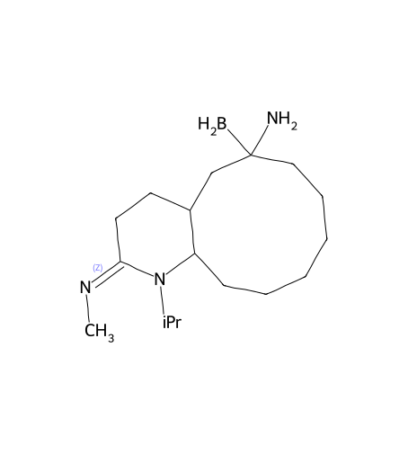 BC1(N)CCCCCCC2C(CC/C(=N/C)N2C(C)C)C1